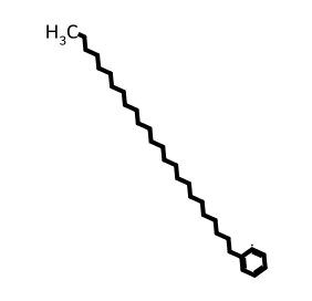 CCCCCCCCCCCCCCCCCCCCCCCCCc1[c]cccc1